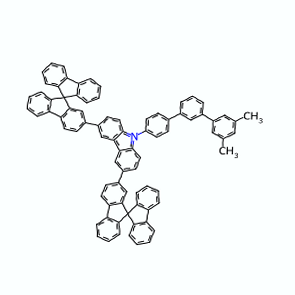 Cc1cc(C)cc(-c2cccc(-c3ccc(-n4c5ccc(-c6ccc7c(c6)C6(c8ccccc8-c8ccccc86)c6ccccc6-7)cc5c5cc(-c6ccc7c(c6)C6(c8ccccc8-c8ccccc86)c6ccccc6-7)ccc54)cc3)c2)c1